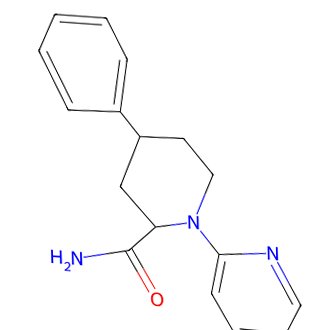 NC(=O)C1CC(c2ccccc2)CCN1c1cc[c]cn1